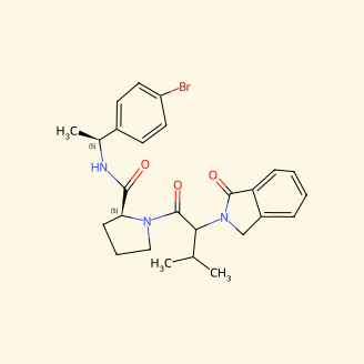 CC(C)C(C(=O)N1CCC[C@H]1C(=O)N[C@@H](C)c1ccc(Br)cc1)N1Cc2ccccc2C1=O